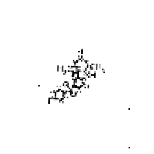 CC1CNCC(C)[C@@H]2c3cc(S(=O)(=O)c4ccc(F)cc4)ccc3NC12